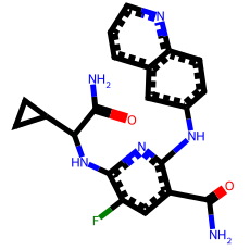 NC(=O)c1cc(F)c(NC(C(N)=O)C2CC2)nc1Nc1ccc2ncccc2c1